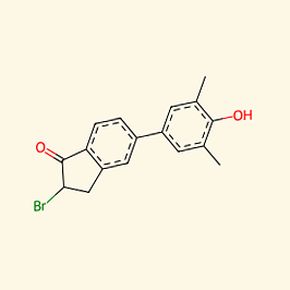 Cc1cc(-c2ccc3c(c2)CC(Br)C3=O)cc(C)c1O